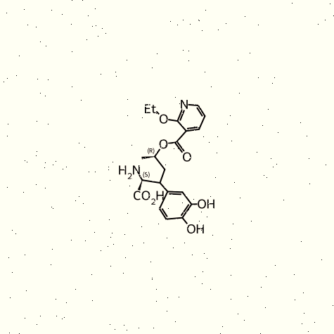 CCOc1ncccc1C(=O)O[C@H](C)CC(c1ccc(O)c(O)c1)[C@H](N)C(=O)O